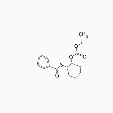 CCOC(=O)OC1CCCCC1SC(=O)c1ccccc1